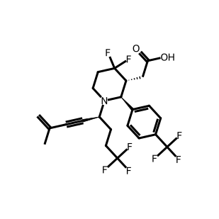 C=C(C)C#C[C@H](CCC(F)(F)F)N1CCC(F)(F)[C@H](CC(=O)O)[C@H]1c1ccc(C(F)(F)F)cc1